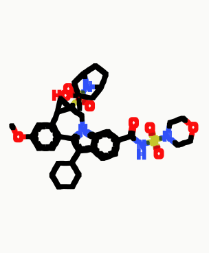 COc1ccc2c(c1)C1CC1(S(=O)(=O)N1C3CCC1CC(C)(O)C3)Cn1c-2c(C2CCCCC2)c2ccc(C(=O)NS(=O)(=O)N3CCOCC3)cc21